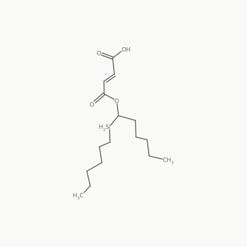 CCCCCC[SiH2]C(CCCCC)OC(=O)/C=C/C(=O)O